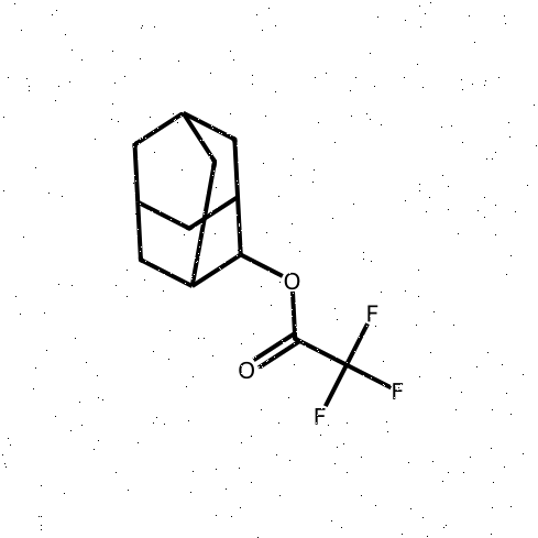 O=C(OC1C2CC3CC(C2)CC1C3)C(F)(F)F